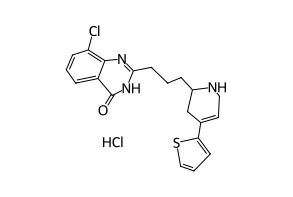 Cl.O=c1[nH]c(CCCC2CC(c3cccs3)=CCN2)nc2c(Cl)cccc12